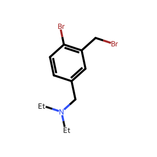 CCN(CC)Cc1ccc(Br)c(CBr)c1